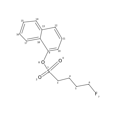 O=S(=O)(CCCCF)Oc1cccc2ccccc12